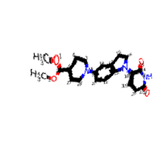 COC(OC)C1CCN(c2ccc3c(c2)CCN3C2CCC(=O)NC2=O)CC1